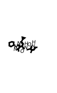 Cc1cc(C)c(CNC(=O)c2cc(C3CC3)nc3c2c(C)nn3C2CCCCC2)c(=O)[nH]1